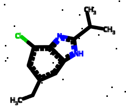 CCc1cc(Cl)c2nc(C(C)C)[nH]c2c1